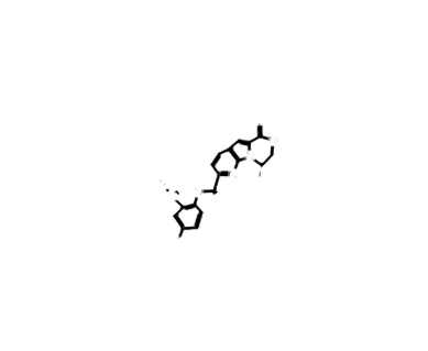 C[C@@H]1CNC(=O)c2cc3ccc(C(=O)Nc4ccc(F)cc4S(N)(=O)=O)nc3n21